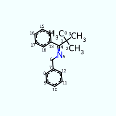 CC(C)(C)C(=NCc1ccccc1)c1ccccc1